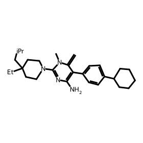 C=C1C(c2ccc(C3CCCCC3)cc2)=C(N)N=C(N2CCC(CC)(CC(C)C)CC2)N1C